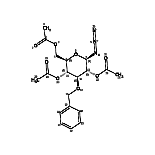 CC(=O)OC[C@H]1O[C@@H](N=[N+]=[N-])[C@H](OC(C)=O)[C@@H](OCc2ccccc2)[C@@H]1OC(C)=O